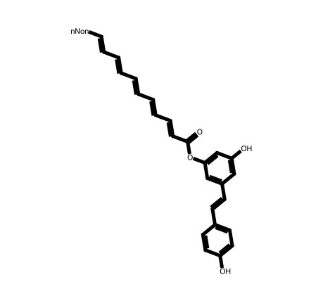 CCCCCCCCC/C=C/C=C/C=C/C=C/C=C/C(=O)Oc1cc(O)cc(/C=C/c2ccc(O)cc2)c1